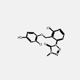 Cn1nnn(-c2cccc(Cl)c2COc2ccc(O)cc2Cl)c1=O